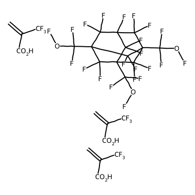 C=C(C(=O)O)C(F)(F)F.C=C(C(=O)O)C(F)(F)F.C=C(C(=O)O)C(F)(F)F.FOC(F)(F)C12C(F)(F)C3(F)C(F)(F)C(C(F)(F)OF)(C1(F)F)C(F)(F)C(C(F)(F)OF)(C3(F)F)C2(F)F